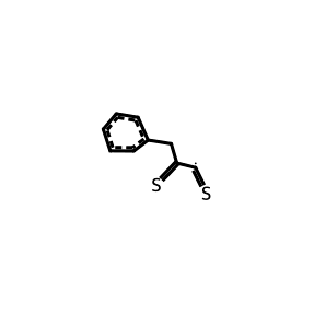 S=[C]C(=S)Cc1ccccc1